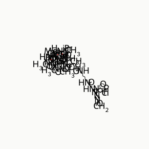 C=CC(=O)N1CCN(c2nc(NCCC(=O)NCCCCCCNC(=O)CCC[C@@H](C)[C@@H](O)CC(=O)N[C@@H](CC)C(=O)N(C)CC(=O)N(C)[C@@H](CC(C)C)C(=O)N[C@H](C(=O)N(C)[C@@H](CC(C)C)C(=O)N[C@@H](C)C(=O)N[C@H](C)C(=O)N(C)[C@@H](CC(C)C)C(=O)N(C)[C@@H](CC(C)C)C(=O)N(C)[C@H](C(=O)NC)C(C)C)C(C)C)nc3c4c(c(Cl)cc23)-c2c(F)cccc2OCC4)CC1